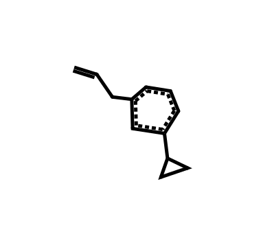 C=CCc1cccc(C2CC2)c1